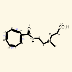 CN(CCNC(=O)C1=C/C=C\C=C/C=C\1)CCS(=O)(=O)O